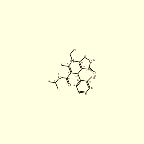 CCN1C(C)=C(C(=O)OC(C)C)C(c2ccccc2C)C2=C1COC2=O